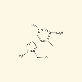 CC(C)Cn1nccc1N.Cc1ccc(C(=O)O)cc1C(=O)O